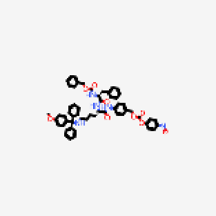 COc1ccc(C(NCCCC[C@H](NC(=O)[C@H](Cc2ccccc2)NC(=O)OCc2ccccc2)C(=O)Nc2ccc(COC(=O)Oc3ccc(N=O)cc3)cc2)(c2ccccc2)C2C=CC=CC2)cc1